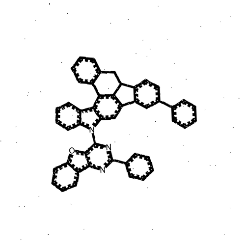 c1ccc(-c2ccc3c(c2)-c2cc4c(c5c2C3Cc2ccccc2-5)c2ccccc2n4-c2nc(-c3ccccc3)nc3c2oc2ccccc23)cc1